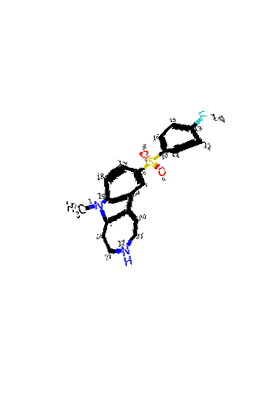 Cn1c2c(c3cc(S(=O)(=O)c4ccc(F)cc4)ccc31)CCNCC2